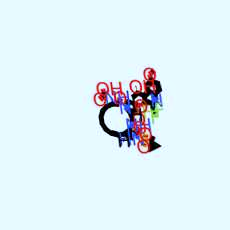 COc1ccc2nc(C(F)(F)F)c3c(c2c1)[C@@H](O)C[C@]1(C[C@H]2C(=O)N[C@]4(C(=O)NS(=O)(=O)C5(C)CC5)C[C@H]4C=CCCCCC[C@H](NC(=O)O)C(=O)N2C1)O3